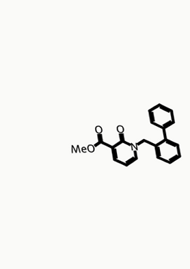 COC(=O)c1cccn(Cc2ccccc2-c2ccccc2)c1=O